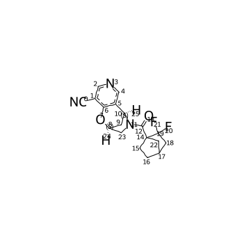 N#Cc1cncc2c1O[C@H]1C[C@@H]2N(C(=O)C23CCC(CC2(F)F)C3)C1